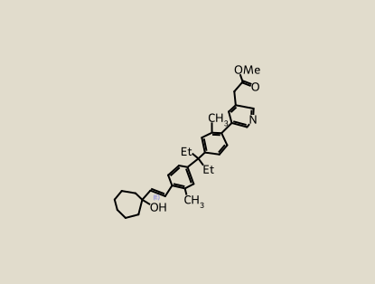 CCC(CC)(c1ccc(/C=C/C2(O)CCCCCC2)c(C)c1)c1ccc(-c2cncc(CC(=O)OC)c2)c(C)c1